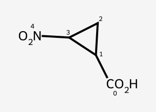 O=C(O)C1CC1[N+](=O)[O-]